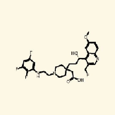 COc1ccc2ncc(CF)c([C@@H](O)CCC3(CC(=O)O)CCN(CCNc4cc(F)cc(F)c4F)CC3)c2c1